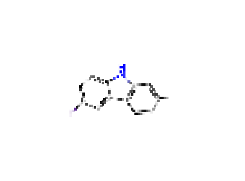 Cc1ccc2c(c1)[nH]c1ccc(I)cc12